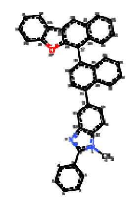 Cn1c(-c2ccccc2)nc2cc(-c3ccc(-c4c5ccccc5cc5c4oc4ccccc45)c4ccccc34)ccc21